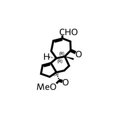 COC(=O)[C@]12CCC=C1[C@H]1CC=C(C=O)CC(=O)[C@]1(C)CC2